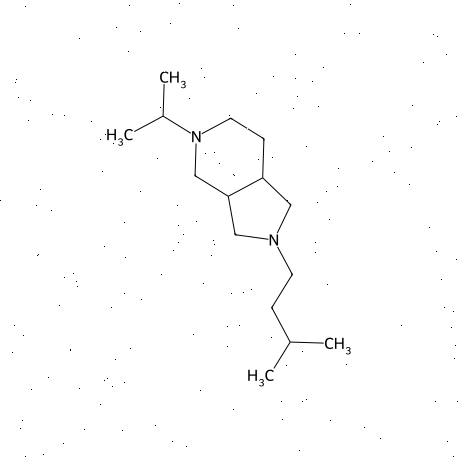 CC(C)CCN1CC2CCN(C(C)C)CC2C1